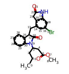 CCCC(CC(=O)OC)N1C(=O)C(Cc2cc(Br)cc3c2CC(=O)N3)c2ccccc21